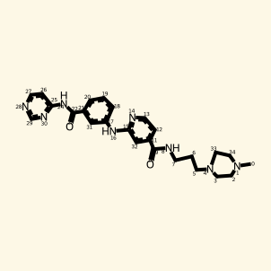 CN1CCN(CCCNC(=O)c2ccnc(Nc3cccc(C(=O)Nc4ccncn4)c3)c2)CC1